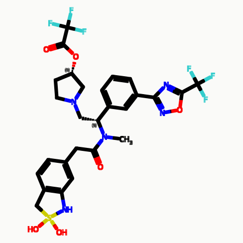 CN(C(=O)Cc1ccc2c(c1)NS(O)(O)C2)[C@H](CN1CC[C@H](OC(=O)C(F)(F)F)C1)c1cccc(-c2noc(C(F)(F)F)n2)c1